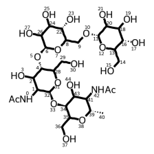 CC(=O)NC1C(O)[C@H](O[C@@H]2OC(CO[C@H]3OC(CO)[C@@H](O)C(O)C3O)[C@@H](O)C(O)C2O)C(CO)O[C@H]1O[C@@H]1C(CO)O[C@@H](C)C(NC(C)=O)C1O